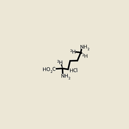 Cl.[2H]C([2H])(N)CCC[C@]([2H])(N)C(=O)O